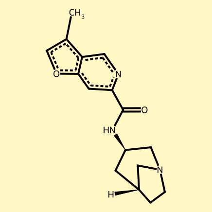 Cc1coc2cc(C(=O)N[C@@H]3C[C@H]4CCN(C4)C3)ncc12